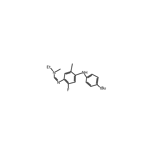 CCN(C)/C=N\c1cc(C)c(Nc2ccc(C(C)(C)C)cc2)cc1F